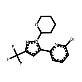 FC(F)(F)c1cc(-c2cccc(Br)n2)n(C2CCCCO2)n1